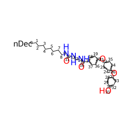 CCCCCCCCCCCCCCCCCCNC(=O)NCNC(=O)c1ccc(Oc2ccc(Oc3ccc(O)cc3)cc2)cc1